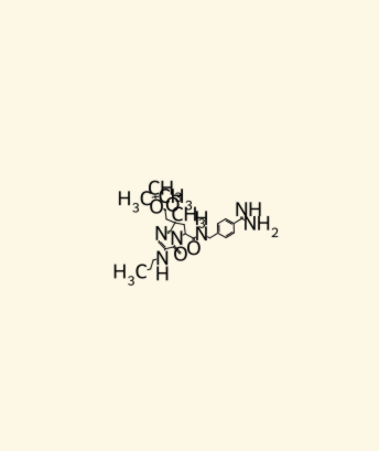 CCCNc1cnc2n(c1=O)C(C(=O)NCc1ccc(C(=N)N)cc1)CC2(C)CC(=O)OC(C)(C)C